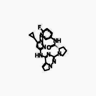 O=C(Nc1ccc(F)nc1)[C@@H]1CCCN1C1=NN2CCC=C2C(Nc2cc(C3CC3)[nH]n2)=N1